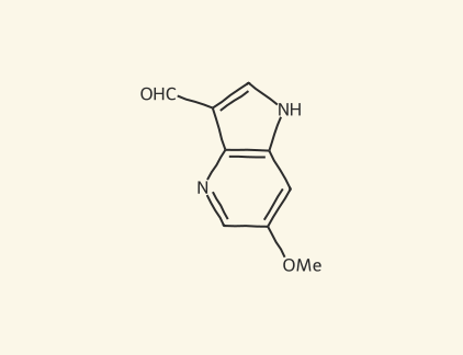 COc1cnc2c(C=O)c[nH]c2c1